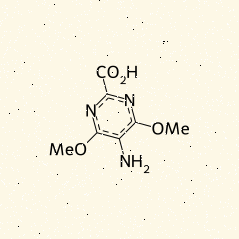 COc1nc(C(=O)O)nc(OC)c1N